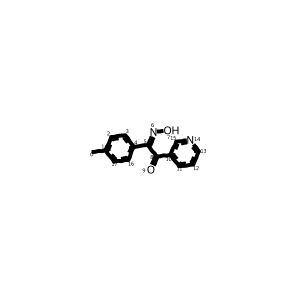 Cc1ccc(C(=NO)C(=O)c2cccnc2)cc1